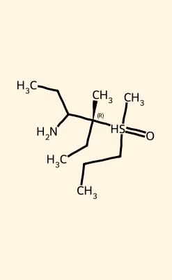 CCC[SH](C)(=O)[C@](C)(CC)C(N)CC